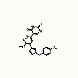 COc1ccc(Cn2ccc(-c3cc(-c4c[nH]c(=O)[nH]c4=O)nnc3OC)c2)cc1